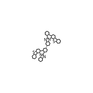 c1ccc2c(c1)nc1c3ccc(-c4ccc5c(c4)nc4c6ccccc6c6ccc7c8ccccc8sc7c6n54)cc3c3ccc4sc5ccccc5c4c3n21